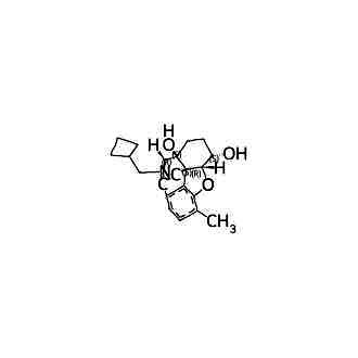 Cc1ccc2c3c1O[C@H]1[C@@H](O)CC[C@@]4(O)[C@@H](C2)N(CC2CCC2)CC[C@]314